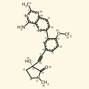 Cc1nc(N)c2nc(-c3cc(C#C[C@]4(O)CCN(C)C4=O)ccc3OC(F)(F)F)ccc2n1